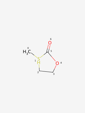 C[SH]1CCOC1=O